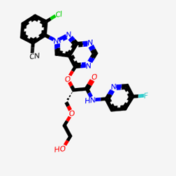 N#Cc1cccc(Cl)c1-n1cc2c(O[C@@H](COCCO)C(=O)Nc3ccc(F)cn3)ncnc2n1